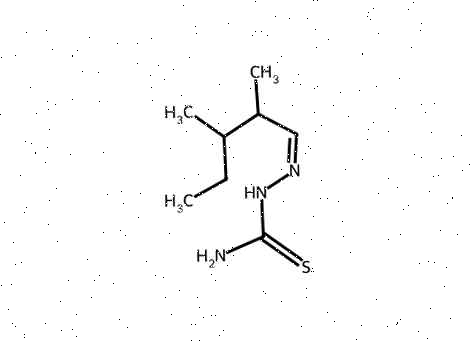 CCC(C)C(C)/C=N\NC(N)=S